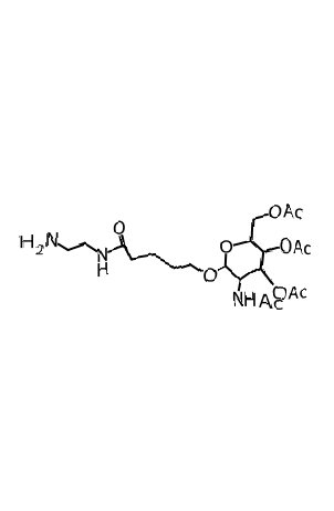 CC(=O)NC1C(OCCCCC(=O)NCCN)OC(COC(C)=O)C(OC(C)=O)C1OC(C)=O